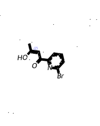 C/C(O)=C/C(=O)c1cccc(Br)n1